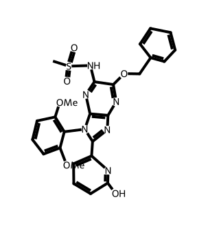 COc1cccc(OC)c1-n1c(-c2cccc(O)n2)nc2nc(OCc3ccccc3)c(NS(C)(=O)=O)nc21